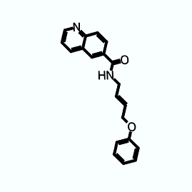 O=C(NCC=CCOc1ccccc1)c1ccc2ncccc2c1